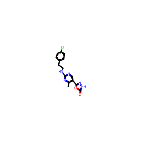 Cc1nc(NCCc2ccc(Cl)cc2)ncc1-c1n[nH]c(=O)o1